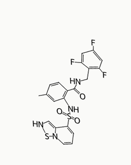 Cc1ccc(C(=O)NCc2c(F)cc(F)cc2F)c(NS(=O)(=O)C2=CC=CN3SNC=C23)c1